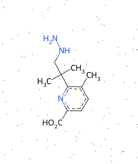 Cc1ccc(C(=O)O)nc1C(C)(C)CNN